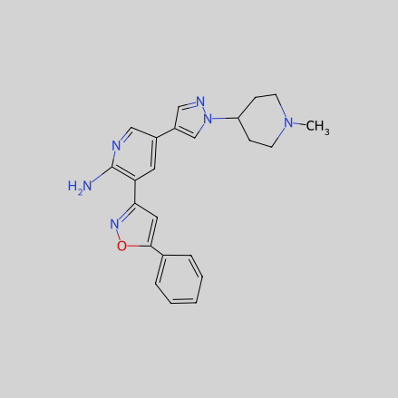 CN1CCC(n2cc(-c3cnc(N)c(-c4cc(-c5ccccc5)on4)c3)cn2)CC1